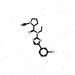 CCN(C(=O)C1CCCN1C#N)c1nc(-c2cccc(Cl)c2)cs1